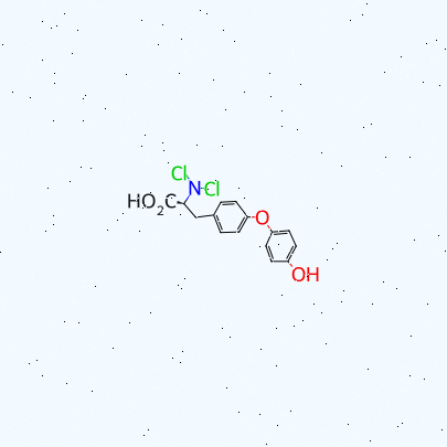 O=C(O)[C@H](Cc1ccc(Oc2ccc(O)cc2)cc1)N(Cl)Cl